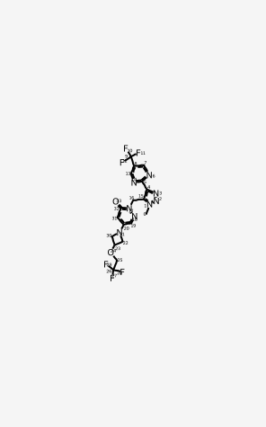 Cn1nnc(-c2ncc(C(F)(F)F)cn2)c1Cn1ncc(N2CC(OCC(F)(F)F)C2)cc1=O